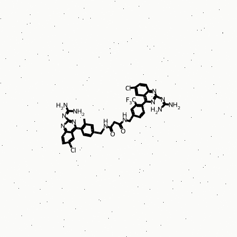 Cc1cc(CNC(=O)CC(=O)NCc2ccc(-c3nc(N=C(N)N)nc4ccc(Cl)cc34)c(C(F)(F)F)c2)ccc1-c1nc(N=C(N)N)nc2ccc(Cl)cc12